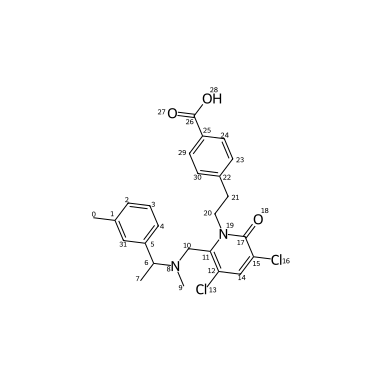 Cc1cccc(C(C)N(C)Cc2c(Cl)cc(Cl)c(=O)n2CCc2ccc(C(=O)O)cc2)c1